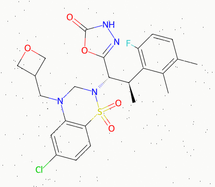 Cc1ccc(F)c([C@@H](C)[C@@H](c2n[nH]c(=O)o2)N2CN(CC3COC3)c3cc(Cl)ccc3S2(=O)=O)c1C